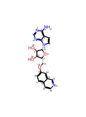 Nc1ncnc2c1ccn2[C@@H]1O[C@H](COc2ccc3ccncc3c2)[C@@H](O)[C@H]1O